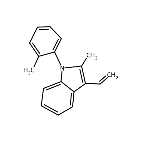 C=Cc1c(C)n(-c2ccccc2C)c2ccccc12